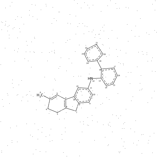 CC1=CC2=C(CC1)Cc1ccc(Nc3ccccc3-c3ccccc3)cc12